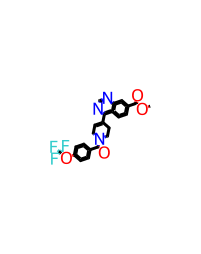 COC(=O)c1ccc2c(C3=CCN(C(=O)c4ccc(OC(F)(F)F)cc4)CC3)ncnc2c1